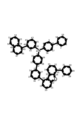 c1ccc(-c2ccc(N(c3ccc(-c4cccc(-c5cccc6oc7c(-c8ccccc8)cccc7c56)c4)cc3)c3cccc(-c4cccc5ccccc45)c3)cc2)cc1